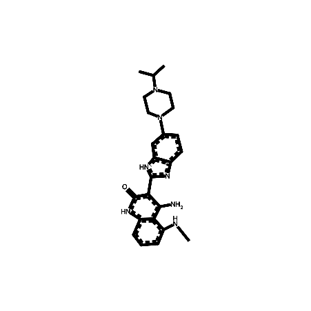 CNc1cccc2[nH]c(=O)c(-c3nc4ccc(N5CCN(C(C)C)CC5)cc4[nH]3)c(N)c12